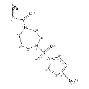 CC(C)(C)OC(=O)N1CCCN(S(=O)(=O)c2ccc(C(=O)O)cc2)CC1